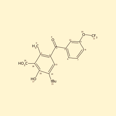 Cc1c(C(=O)c2cccc(OC(F)(F)F)c2)cc(C(C)(C)C)c(O)c1C(=O)O